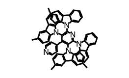 Cc1ccc2c(c1)c1cc(C)ccc1n2-c1c(-n2c3ccccc3c3ccccc32)nc(-n2c3ccccc3c3ccccc32)c(-n2c3ccc(C)cc3c3cc(C)ccc32)c1-c1ccncc1